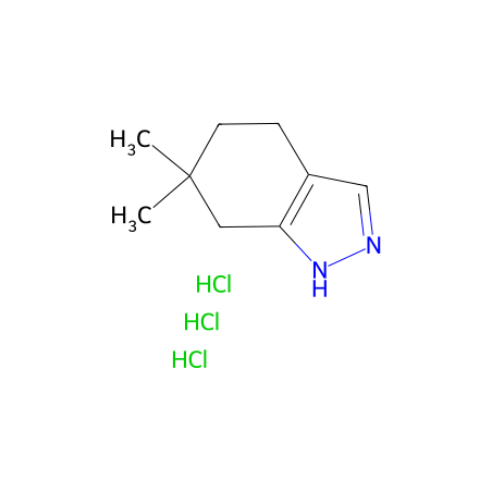 CC1(C)CCc2cn[nH]c2C1.Cl.Cl.Cl